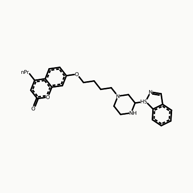 CCCc1cc(=O)oc2cc(OCCCCN3CCNC([SH]4N=Cc5ccccc54)C3)ccc12